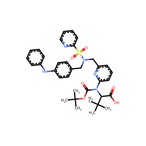 CC(C)(C)OC(=O)N(c1cccc(CN(Cc2ccc(Nc3ccccc3)cc2)S(=O)(=O)c2ccccn2)n1)C(C(=O)O)C(C)(C)C